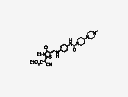 CCOC(=O)C(C#N)=c1sc(=CNc2ccc(NC(=O)N3CCC(N4CCN(C)CC4)CC3)cc2)c(=O)n1CC